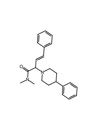 CN(C)C(=O)C(/C=C/c1ccccc1)N1CCC(c2ccccc2)CC1